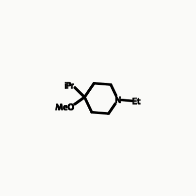 CCN1CCC(OC)(C(C)C)CC1